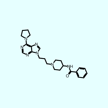 O=C(NC1CCN(CCCn2cnc3c(N4CCCC4)ncnc32)CC1)c1ccccc1